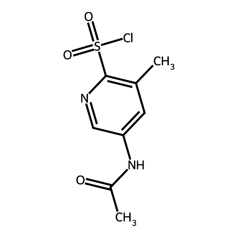 CC(=O)Nc1cnc(S(=O)(=O)Cl)c(C)c1